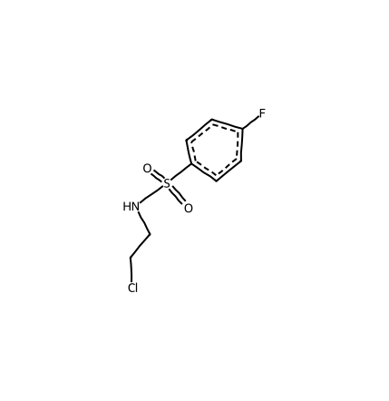 O=S(=O)(NCCCl)c1ccc(F)cc1